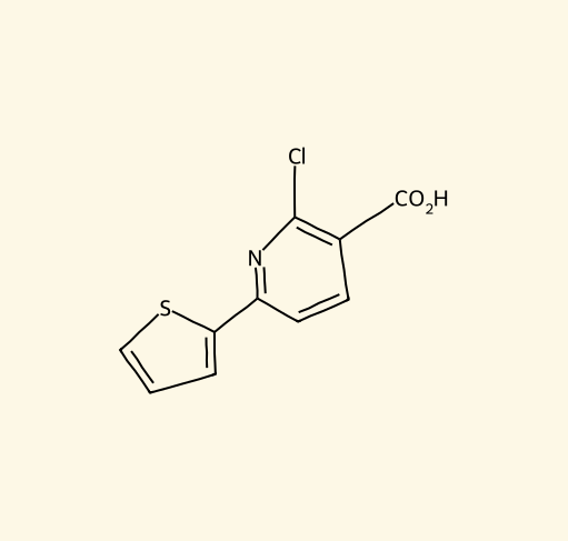 O=C(O)c1ccc(-c2cccs2)nc1Cl